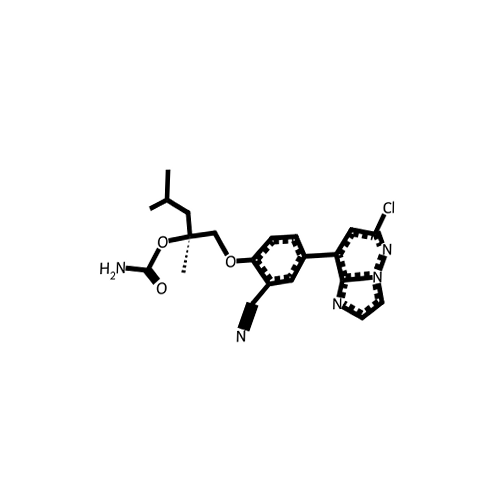 CC(C)C[C@@](C)(COc1ccc(-c2cc(Cl)nn3ccnc23)cc1C#N)OC(N)=O